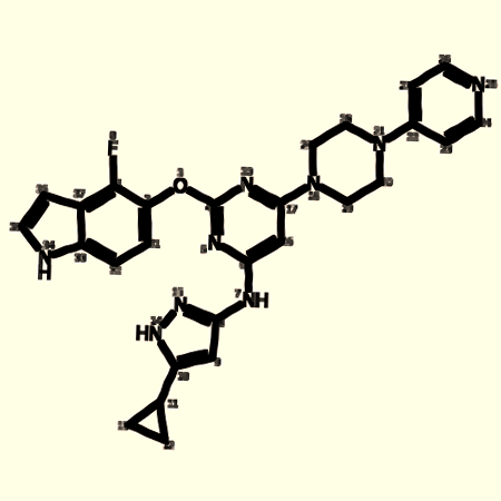 Fc1c(Oc2nc(Nc3cc(C4CC4)[nH]n3)cc(N3CCN(c4ccncc4)CC3)n2)ccc2[nH]ccc12